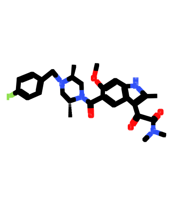 COc1cc2[nH]c(C)c(C(=O)C(=O)N(C)C)c2cc1C(=O)N1C[C@H](C)N(Cc2ccc(F)cc2)C[C@H]1C